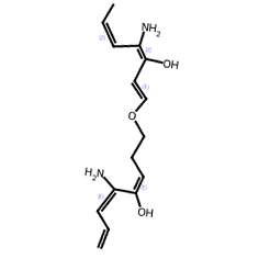 C=C/C=C(N)\C(O)=C/CCO/C=C/C(O)=C(N)\C=C/C